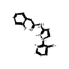 O=C(Cc1ccccc1F)Nc1ccn(-c2ncccc2F)n1